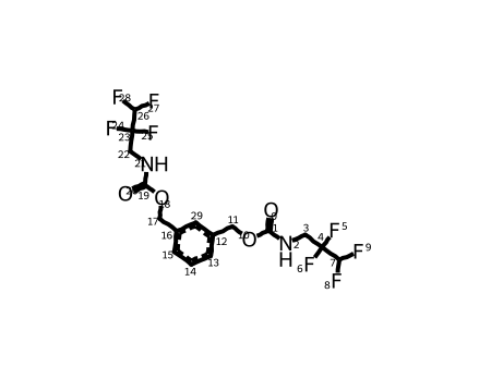 O=C(NCC(F)(F)C(F)F)OCc1cccc(COC(=O)NCC(F)(F)C(F)F)c1